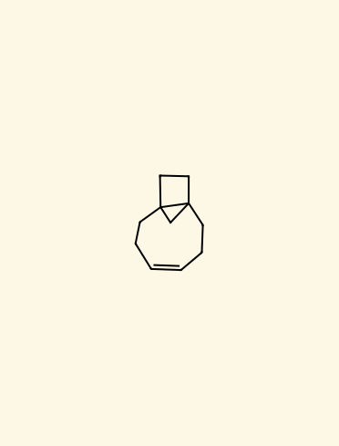 C1=CCCC23CCC2(CC1)C3